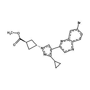 COC(=O)[C@H]1C[C@H](n2cc(-c3cnc4ccc(Br)cc4n3)c(C3CC3)n2)C1